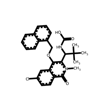 Cn1c(C(NC(=O)O)C(C)(C)C)c(OCc2cccc3ccccc23)c2cc(Cl)ccc2c1=O